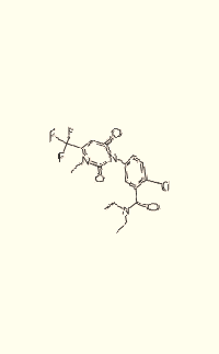 CCN(CC)C(=O)c1cc(-n2c(=O)cc(C(F)(F)F)n(C)c2=O)ccc1Cl